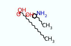 CCCCCCCCCCCCCCC(O)CCC(=O)O.CCCCCc1ccccc1N